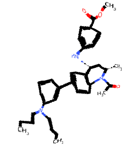 CCCCN(CCCC)c1cccc(-c2ccc3c(c2)[C@H](Nc2ccc(C(=O)OC)cc2)C[C@H](C)N3C(C)=O)c1